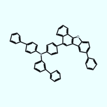 c1ccc(-c2ccc(N(c3ccc(-c4cc5c6cc(-c7ccccc7)ccc6oc5c5ccccc45)cc3)c3cccc(-c4ccccc4)c3)cc2)cc1